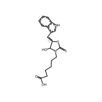 O=C(O)CCCCCN1C(=S)S/C(=C\c2c[nH]c3ccccc23)C1O